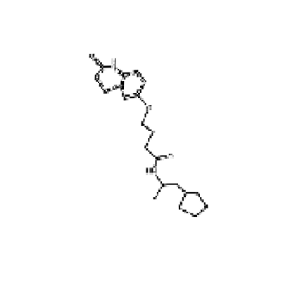 CC(CC1CCCC1)NC(=O)CCCOc1ccc2[nH]c(=O)ccc2c1